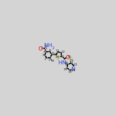 Cc1ccc(C(N)=O)cc1-c1ccc(C(=O)Nc2ccncc2F)s1